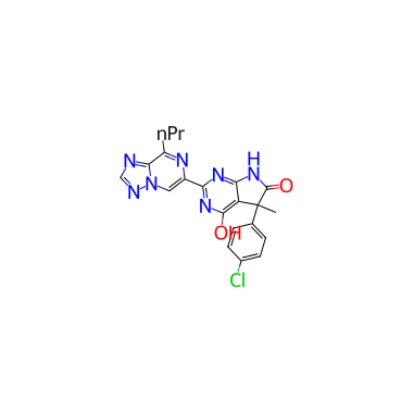 CCCc1nc(-c2nc(O)c3c(n2)NC(=O)C3(C)c2ccc(Cl)cc2)cn2ncnc12